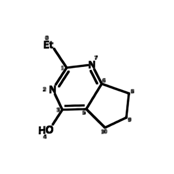 CCc1nc(O)c2c(n1)CCC2